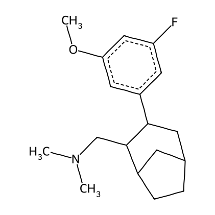 COc1cc(F)cc(C2CC3CCC(C3)C2CN(C)C)c1